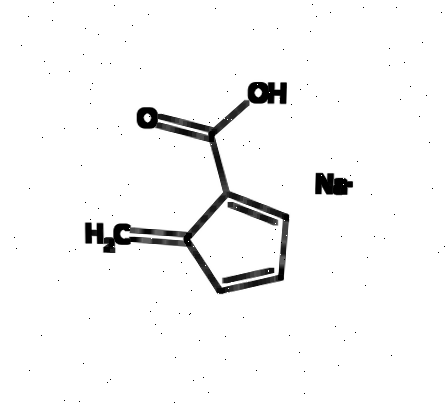 C=C1C=CC=C1C(=O)O.[Na]